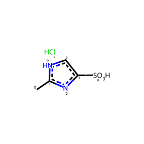 Cc1nc(S(=O)(=O)O)c[nH]1.Cl